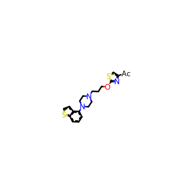 CC(=O)c1csc(OCCCN2CCN(c3cccc4sccc34)CC2)n1